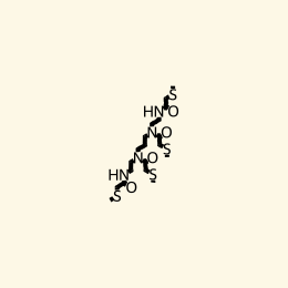 CSCC(=O)NCCN(CCCN(CCNC(=O)CSC)C(=O)CSC)C(=O)CSC